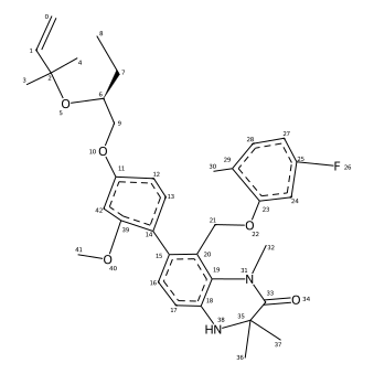 C=CC(C)(C)O[C@@H](CC)COc1ccc(-c2ccc3c(c2COc2cc(F)ccc2C)N(C)C(=O)C(C)(C)N3)c(OC)c1